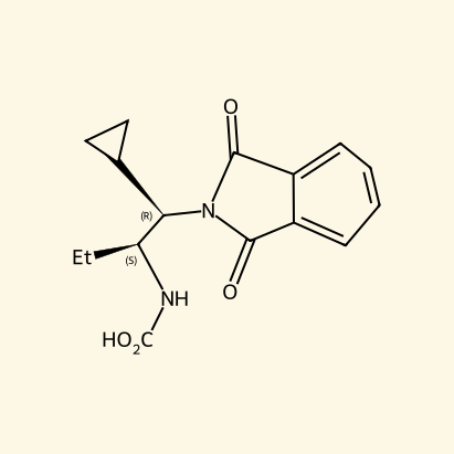 CC[C@H](NC(=O)O)[C@@H](C1CC1)N1C(=O)c2ccccc2C1=O